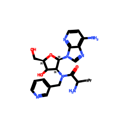 CCCC(N)C(=O)N(Cc1cccnc1)[C@H]1C(O)[C@@H](CO)O[C@H]1n1cnc2c(N)ccnc21